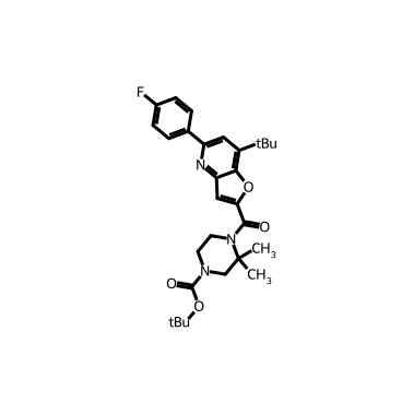 CC(C)(C)OC(=O)N1CCN(C(=O)c2cc3nc(-c4ccc(F)cc4)cc(C(C)(C)C)c3o2)C(C)(C)C1